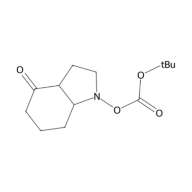 CC(C)(C)OC(=O)ON1CCC2C(=O)CCCC21